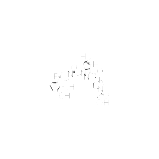 Cc1cccc(C2(F)CCN(C(=O)Cn3nc(C(=O)N4CCN(C(=O)CO)CC4)c4c3C[C@H]3C[C@@H]43)CC2)c1C